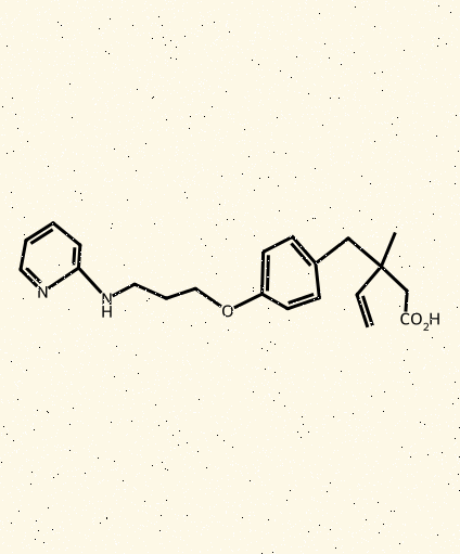 C=CC(C)(CC(=O)O)Cc1ccc(OCCCNc2ccccn2)cc1